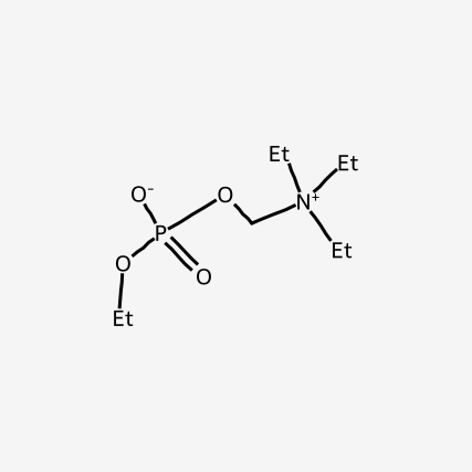 CCOP(=O)([O-])OC[N+](CC)(CC)CC